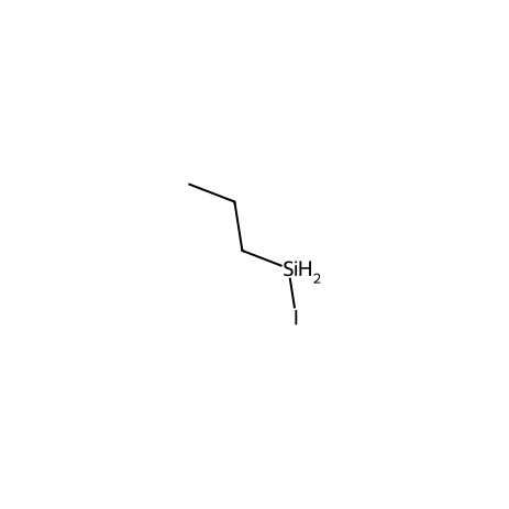 CCC[SiH2]I